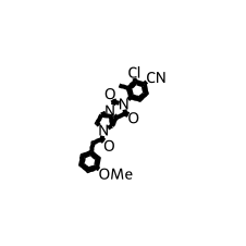 COc1cccc(CC(=O)N2CC3CC2C2C(=O)N(c4ccc(C#N)c(Cl)c4C)C(=O)N32)c1